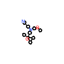 c1ccc(Oc2ccc(N(c3ccc(-c4ccncc4)cc3)c3ccc(-c4c(-c5ccccc5)oc5c6ccccc6c6ccccc6c45)cc3)cc2)cc1